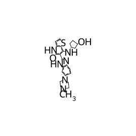 CN1CCN(c2ccc3nc(-c4c(N[C@@H]5CCC(O)C5)c5sccc5[nH]c4=O)[nH]c3c2)CC1